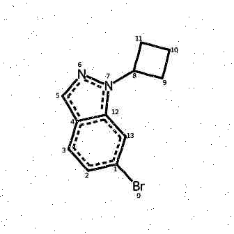 Brc1ccc2cnn(C3CCC3)c2c1